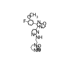 COc1cc(-c2nc3occn3c2-c2ccnc(NCCN3CCCNS3(=O)=O)n2)ccc1F